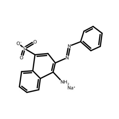 Nc1c(N=Nc2ccccc2)cc(S(=O)(=O)[O-])c2ccccc12.[Na+]